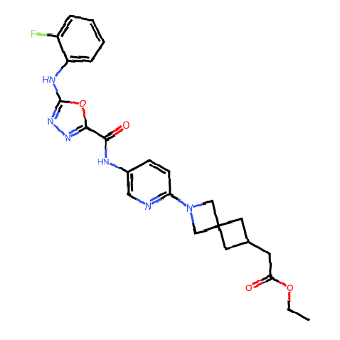 CCOC(=O)CC1CC2(C1)CN(c1ccc(NC(=O)c3nnc(Nc4ccccc4F)o3)cn1)C2